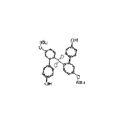 CCCCOc1ccc(S(=O)(=O)c2ccc(OCCCC)cc2-c2ccc(O)cc2)c(-c2ccc(O)cc2)c1